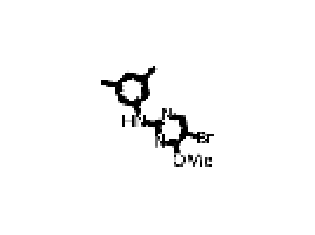 COc1nc(Nc2cc(C)cc(C)c2)ncc1Br